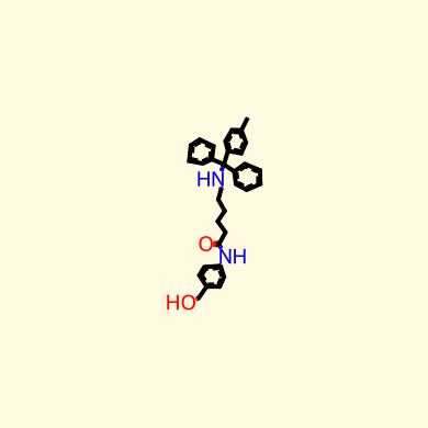 Cc1ccc(C(NCCCCCC(=O)Nc2ccc(CO)cc2)(c2ccccc2)c2ccccc2)cc1